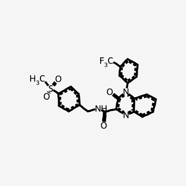 CS(=O)(=O)c1ccc(CNC(=O)c2nc3ccccc3n(-c3cccc(C(F)(F)F)c3)c2=O)cc1